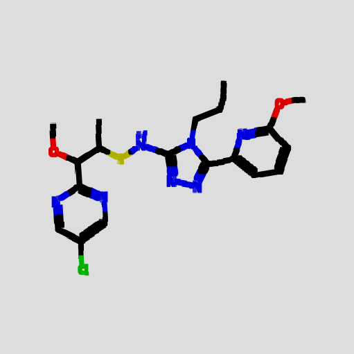 CCCn1c(NSC(C)C(OC)c2ncc(Cl)cn2)nnc1-c1cccc(OC)n1